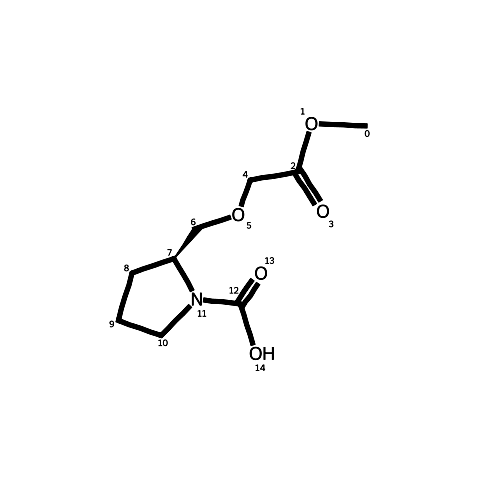 COC(=O)COC[C@@H]1CCCN1C(=O)O